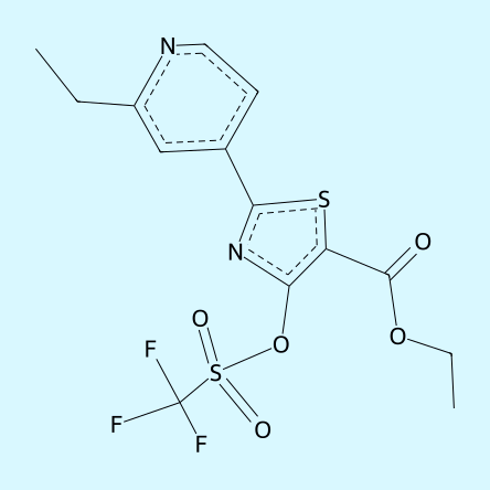 CCOC(=O)c1sc(-c2ccnc(CC)c2)nc1OS(=O)(=O)C(F)(F)F